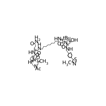 CC(=O)N1CC[C@H]2CC[C@@H](C(=O)N[C@@H](CCC(N)=O)C(=O)NCCCCCCCCC(=O)N[C@H](C(=O)N3C[C@H](O)C[C@H]3C(=O)NCc3ccc(-c4scnc4C)cc3)C(C)(C)C)N2C(=O)[C@@H](C)C1